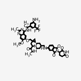 CNC(=O)C(CC1(COc2cc3c(N[C@H](C)c4cc(N)cc(C(F)(F)F)c4)nc(C)nc3cc2OC)CC1)N1CCC(CNc2ccc3c(c2)C(=O)N(C2CCC(=O)NC2=O)C3=O)CC1